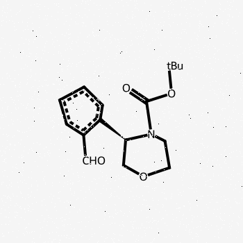 CC(C)(C)OC(=O)N1CCOC[C@H]1c1ccccc1C=O